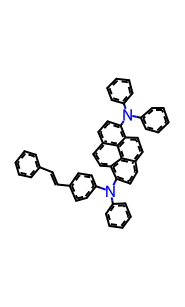 C(=Cc1ccc(N(c2ccccc2)c2ccc3ccc4c(N(c5ccccc5)c5ccccc5)ccc5ccc2c3c54)cc1)c1ccccc1